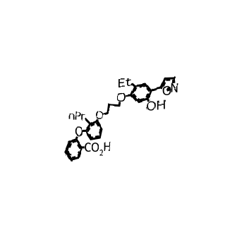 CCCc1c(OCCCOc2cc(O)c(-c3ccno3)cc2CC)cccc1Oc1ccccc1C(=O)O